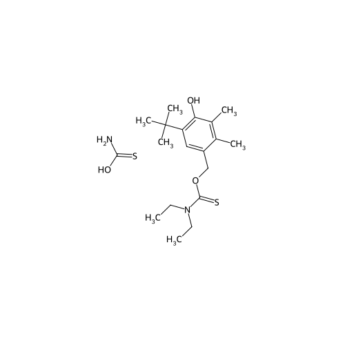 CCN(CC)C(=S)OCc1cc(C(C)(C)C)c(O)c(C)c1C.NC(O)=S